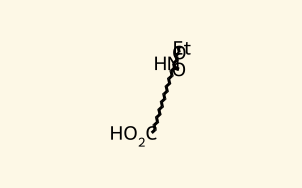 CCOCCNC(=O)CCCCCCCCCCCCCCCCC(=O)O